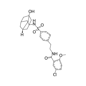 COc1ccc(Cl)cc1C(=O)NCCc1ccc(S(=O)(=O)NC23CC4C[C@H](CC(O)(C4)C2)C3)cc1